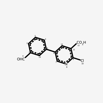 O=Cc1cccc(-c2cnc(Cl)c(C(=O)O)c2)c1